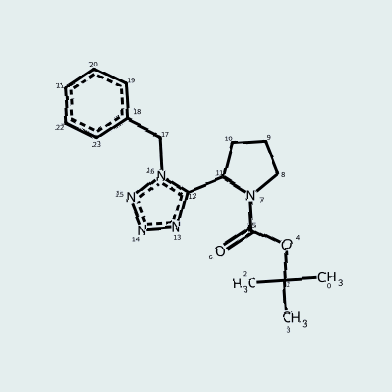 CC(C)(C)OC(=O)N1CCCC1c1nnnn1Cc1ccccc1